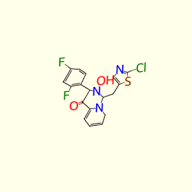 O=C1C2=CC=CCN2C(Cc2cnc(Cl)s2)N(O)C1c1ccc(F)cc1F